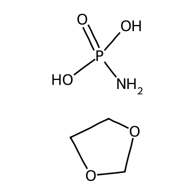 C1COCO1.NP(=O)(O)O